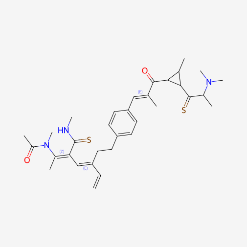 C=C/C(=C/C(C(=S)NC)=C(\C)N(C)C(C)=O)CCc1ccc(/C=C(\C)C(=O)C2C(C)C2C(=S)C(C)N(C)C)cc1